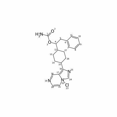 NC(=O)OC(Cc1ccccc1)C1CCC(C2=C3C=NC=C[N+]3(Cl)C=N2)CC1